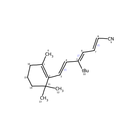 CC1=C(/C=C/C(=C/C=C/C#N)C(C)(C)C)C(C)(C)CCC1